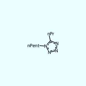 CCCCCn1nnnc1CCC